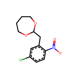 O=[N+]([O-])c1ccc(Cl)cc1CC1OCCCCO1